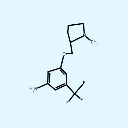 CN1CCCC1COc1cc(N)cc(C(F)(F)F)c1